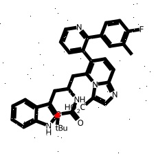 Cc1cc(-c2ncccc2-c2ccc3ncc(C(=O)O)n3c2CC(Cc2c[nH]c3ccccc23)NC(=O)OC(C)(C)C)ccc1F